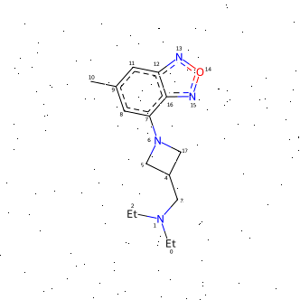 CCN(CC)CC1CN(c2cc(C)cc3nonc23)C1